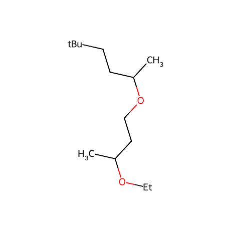 CCOC(C)CCOC(C)CCC(C)(C)C